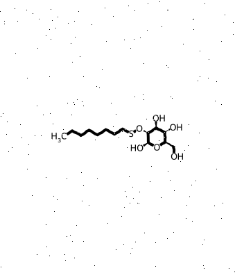 CCCCCCCCSO[C@@H]1[C@@H](O)[C@H](O)[C@@H](CO)O[C@H]1O